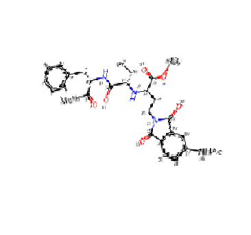 CNC(=O)[C@H](Cc1ccccc1)NC(=O)[C@H](CC(C)C)N[C@H](CCN1C(=O)c2ccc(NC(C)=O)cc2C1=O)C(=O)OC(C)(C)C